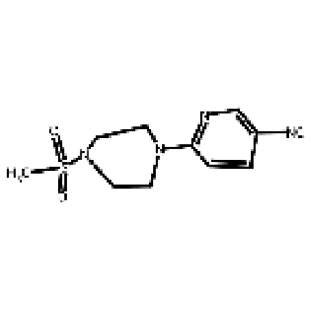 [C-]#[N+]c1ccc(N2CCN(S(C)(=O)=O)CC2)nc1